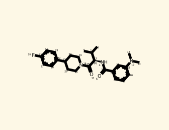 CC(C)[C@@H](NC(=O)c1cccc(N(C)C)c1)C(=O)N1CCC(c2ccc(F)cc2)CC1